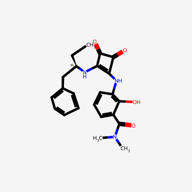 CC[C@H](Cc1ccccc1)Nc1c(Nc2cccc(C(=O)N(C)C)c2O)c(=O)c1=O